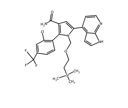 C[Si](C)(C)CCOCn1c(-c2ccnc3[nH]ccc23)cc(C(N)=O)c1-c1ccc(C(F)(F)F)cc1Cl